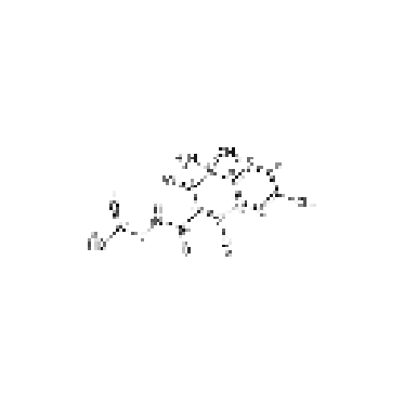 CC1(N)C(=O)C(C(=O)NCC(=O)O)=C(O)c2cc(Cl)ccc21